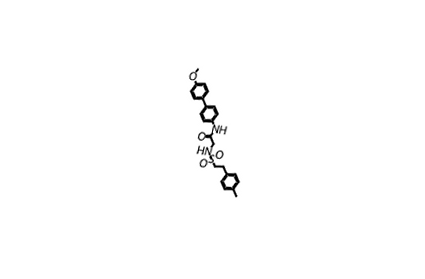 COc1ccc(-c2ccc(NC(=O)CNS(=O)(=O)CCc3ccc(C)cc3)cc2)cc1